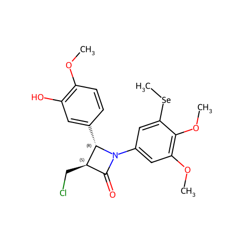 COc1ccc([C@H]2[C@H](CCl)C(=O)N2c2cc(OC)c(OC)c([Se]C)c2)cc1O